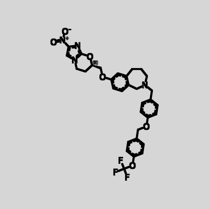 O=[N+]([O-])c1cn2c(n1)O[C@@H](COc1ccc3c(c1)CCCN(Cc1ccc(OCc4ccc(OC(F)(F)F)cc4)cc1)C3)CC2